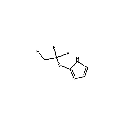 FCC(F)(F)Sc1ncc[nH]1